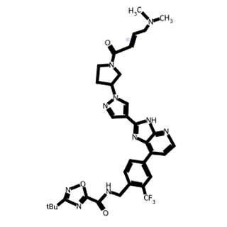 CN(C)C/C=C/C(=O)N1CCC(n2cc(-c3nc4c(-c5ccc(CNC(=O)c6nc(C(C)(C)C)no6)c(C(F)(F)F)c5)ccnc4[nH]3)cn2)C1